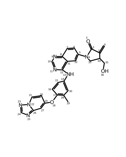 C=C1C(=O)N(c2ccc3ncnc(Nc4ccc(Oc5ccn6ncnc6c5)c(C)c4)c3c2)CC1CO